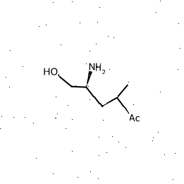 CC(=O)C(C)C[C@H](N)CO